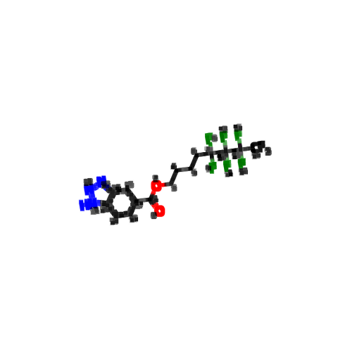 O=C(OCCCCC(F)(F)C(F)(F)C(F)(F)C(F)(F)F)c1ccc2[nH]nnc2c1